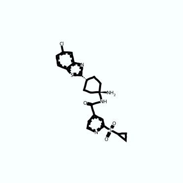 N[C@]1(NC(=O)c2ccnc(S(=O)(=O)C3CC3)c2)CC[C@@H](c2nc3cc(Cl)ccc3s2)CC1